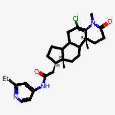 CCc1cc(NC(=O)C[C@H]2CCC3C4CC(Cl)=C5N(C)C(=O)CC[C@]5(C)C4CC[C@@]32C)ccn1